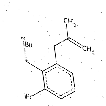 C=C(C)Cc1cccc(C(C)C)c1C[C@@H](C)CC